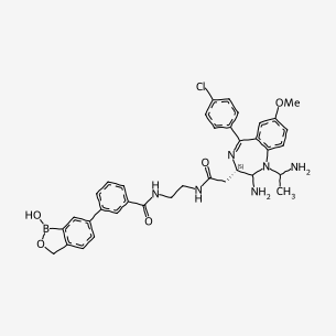 COc1ccc2c(c1)C(c1ccc(Cl)cc1)=N[C@@H](CC(=O)NCCNC(=O)c1cccc(-c3ccc4c(c3)B(O)OC4)c1)C(N)N2C(C)N